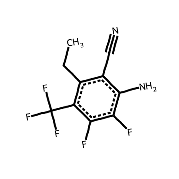 CCc1c(C#N)c(N)c(F)c(F)c1C(F)(F)F